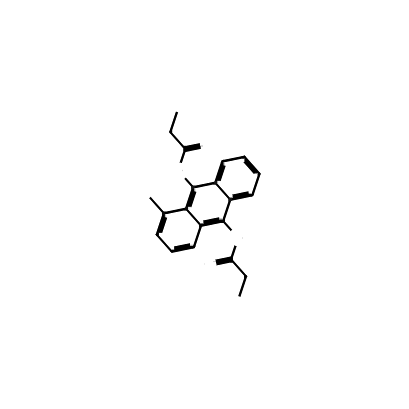 CCC(=O)Oc1c2ccccc2c(OC(=O)CC)c2c(C)cccc12